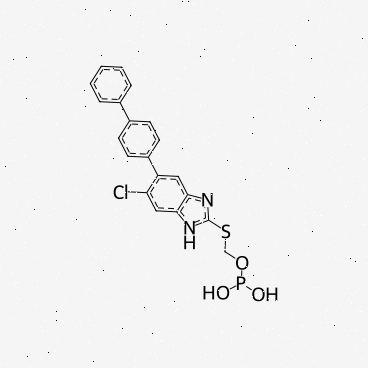 OP(O)OCSc1nc2cc(-c3ccc(-c4ccccc4)cc3)c(Cl)cc2[nH]1